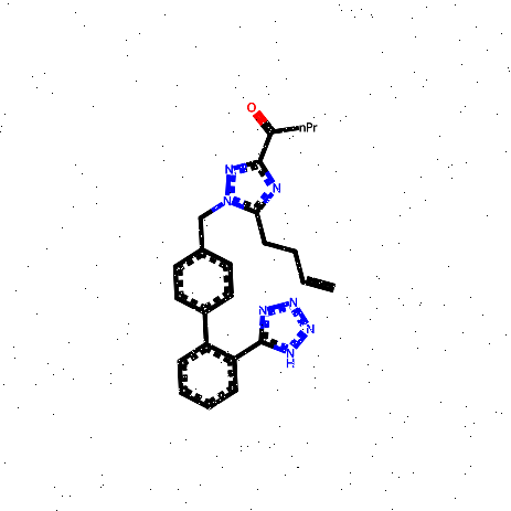 C=CCCc1nc(C(=O)CCC)nn1Cc1ccc(-c2ccccc2-c2nnn[nH]2)cc1